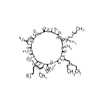 C/C=C/C[C@@H](C)[C@@H](O)[C@H]1C(=O)N[C@@H](CC)C(=O)N(C)[C@H](SCCN(CC)CC)C(=O)N(C)[C@@H](CC(C)(C)OCOCC)C(=O)NC(=O)N(C)C(=O)NC(=O)N[C@H](C)C(=O)N(C)[C@H](CC(C)C)C(=O)N(C)C(=O)N(C)[C@@H](C(C)C)C(=O)N1C